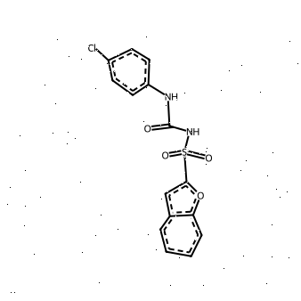 O=C(Nc1ccc(Cl)cc1)NS(=O)(=O)c1cc2ccccc2o1